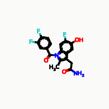 Cc1c(CC(N)=O)c2cc(O)c(F)cc2n1C(=O)c1ccc(F)c(F)c1